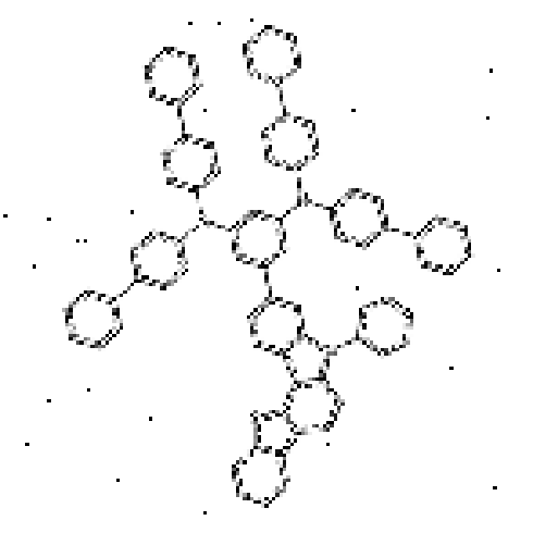 c1ccc(-c2ccc(N(c3ccc(-c4ccccc4)cc3)c3cc(-c4ccc5c6c7sc8ccccc8c7ccc6n(-c6ccccc6)c5c4)cc(N(c4ccc(-c5ccccc5)cc4)c4ccc(-c5ccccc5)cc4)c3)cc2)cc1